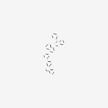 c1ccc(-c2nc(-c3ccc(-c4cccc(-c5ccc6c(c5)ncc5ccccc56)c4)c4ccccc34)nc3ccccc23)cc1